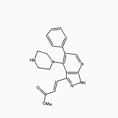 COC(=O)/C=C/c1n[nH]c2ncc(-c3ccccc3)c(N3CCNCC3)c12